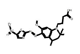 COc1cc2c(cc1N=Nc1ncc([N+](=O)[O-])s1)C(C)CC(C)(C)N2CCCC(=O)O